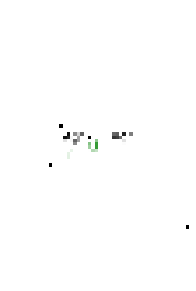 [Ag+].[Ag+].[Cl-].[Cl-]